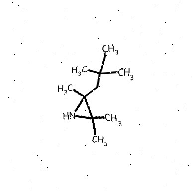 CC(C)(C)CC1(C)NC1(C)C